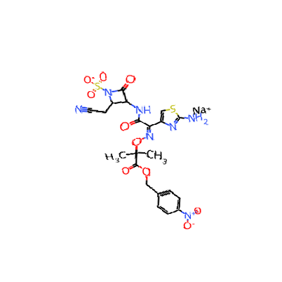 CC(C)(ON=C(C(=O)NC1C(=O)N(S(=O)(=O)[O-])C1CC#N)c1csc(N)n1)C(=O)OCc1ccc([N+](=O)[O-])cc1.[Na+]